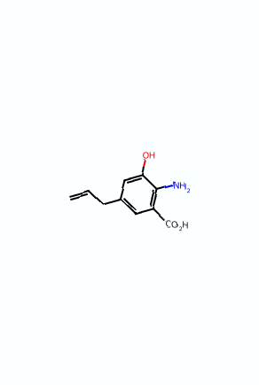 C=CCc1cc(O)c(N)c(C(=O)O)c1